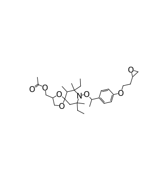 CCC1(C)CC2(OCC(COC(C)=O)O2)C(C)C(C)(CC)N1OC(C)c1ccc(OCCC2CO2)cc1